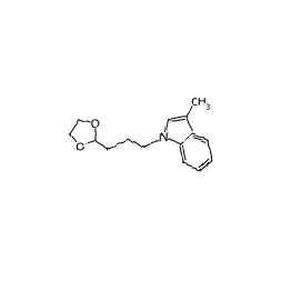 Cc1cn(CCCC2OCCO2)c2ccccc12